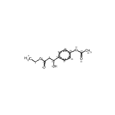 CCOC(=O)CC(O)c1ccc(OC(C)=O)cc1